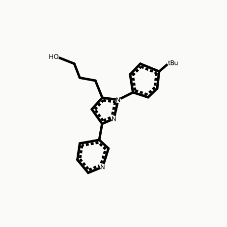 CC(C)(C)c1ccc(-n2nc(-c3cccnc3)cc2CCCO)cc1